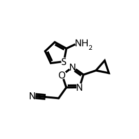 N#CCc1nc(C2CC2)no1.Nc1cccs1